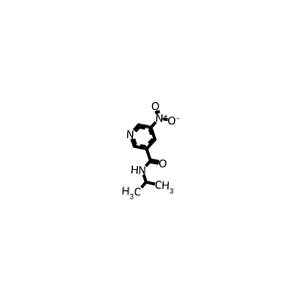 CC(C)NC(=O)c1cncc([N+](=O)[O-])c1